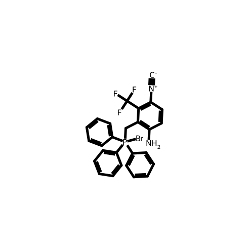 [C-]#[N+]c1ccc(N)c(CP(Br)(c2ccccc2)(c2ccccc2)c2ccccc2)c1C(F)(F)F